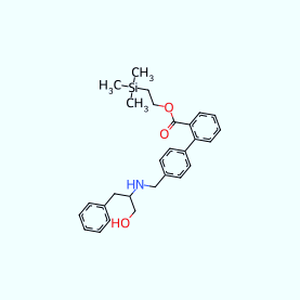 C[Si](C)(C)CCOC(=O)c1ccccc1-c1ccc(CNC(CO)Cc2ccccc2)cc1